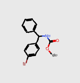 CC(C)(C)OC(=O)NC(c1ccccc1)c1ccc(Br)cc1